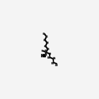 CCCCCCC(C)(S)CCCCC